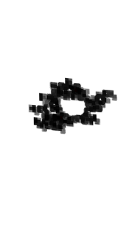 C=C1C[C@H](OS(=O)(=O)c2ccc(C)cc2)CC[C@@]23CC4OC5[C@@H](O2)C2O[C@H](CC[C@@H]2O[C@H]5[C@H]4O3)CC(=O)C[C@H]2C(C[C@H]3O[C@@H](CC[C@@H]1O)C[C@@H](C)C3=C)O[C@H](C[C@H](C)CO[Si](C)(C)C(C)(C)C)[C@@H]2C